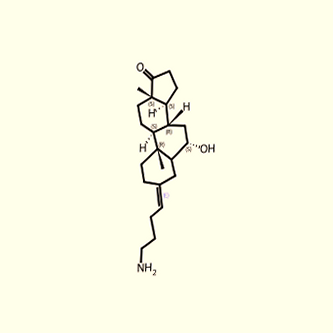 C[C@]12CC/C(=C\CCCN)CC1[C@@H](O)C[C@@H]1[C@@H]2CC[C@]2(C)C(=O)CC[C@@H]12